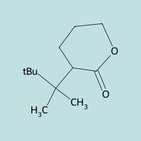 CC(C)(C)C(C)(C)C1CCCOC1=O